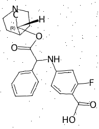 O=C(O)c1ccc(NC(C(=O)O[C@H]2CN3CCC2CC3)c2ccccc2)cc1F